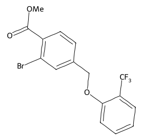 COC(=O)c1ccc(COc2ccccc2C(F)(F)F)cc1Br